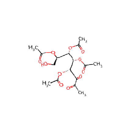 CC(=O)O[C@H]([C@H](OC(C)=O)[C@@H](OC(C)=O)C(=O)C(C)=O)[C@@H](CO)OC(C)=O